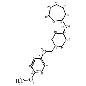 COc1ccc(OCC2CCC(NC3CCCCCC3)CC2)cc1